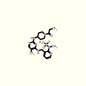 CN(c1ncccc1CNc1nc(NC2CCN(C(=O)CC(F)(F)F)CC2)ncc1C(F)(F)F)S(C)(=O)=O